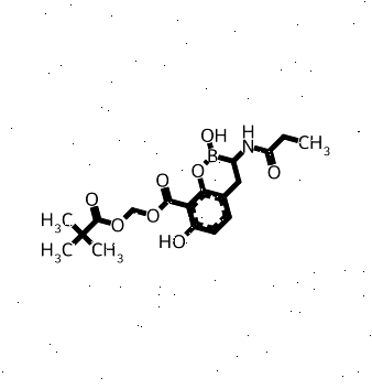 CCC(=O)NC1Cc2ccc(O)c(C(=O)OCOC(=O)C(C)(C)C)c2OB1O